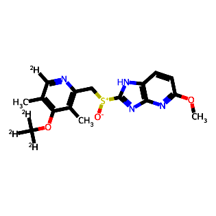 [2H]c1nc(C[S+]([O-])c2nc3nc(OC)ccc3[nH]2)c(C)c(OC([2H])([2H])[2H])c1C